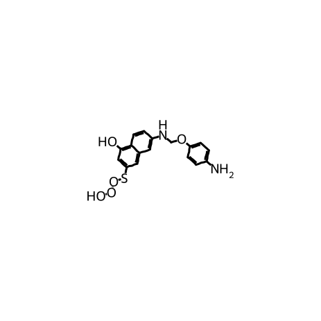 Nc1ccc(OCNc2ccc3c(O)cc(SOOO)cc3c2)cc1